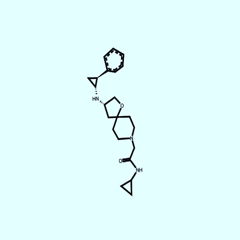 O=C(CN1CCC2(CC1)C[C@H](N[C@@H]1C[C@H]1c1ccccc1)CO2)NC1CC1